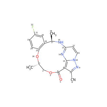 C[C@H]1COC(=O)c2c(C#N)nn3ccc(nc23)N[C@H](C)c2cc(F)ccc2O1